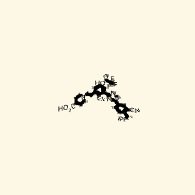 CCc1c(CCN2CCC(C(=O)O)CC2)cccc1-c1nsc(-c2ccc(CC(C)C)c(C#N)c2)n1.O=C(O)C(F)(F)F